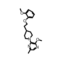 COc1ccccc1OCCC1CCN(c2nc(C)cnc2OC)CC1